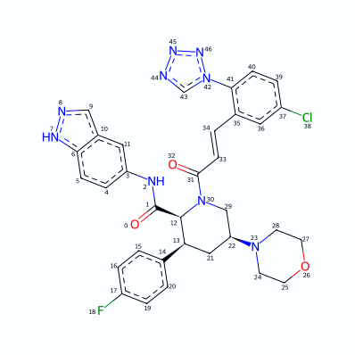 O=C(Nc1ccc2[nH]ncc2c1)[C@@H]1[C@H](c2ccc(F)cc2)C[C@H](N2CCOCC2)CN1C(=O)/C=C/c1cc(Cl)ccc1-n1cnnn1